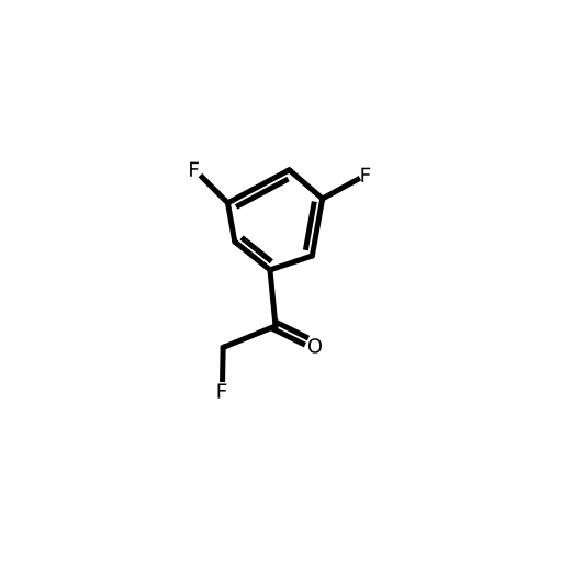 O=C(CF)c1cc(F)cc(F)c1